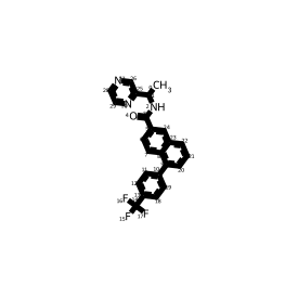 CC(NC(=O)c1ccc2c(-c3ccc(C(F)(F)F)cc3)cccc2c1)c1cnccn1